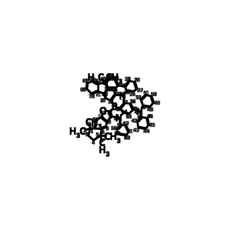 CC1(C)CCC(C)(C)c2cc3c4c(oc3cc21)B1c2cc3c(cc2N(c2ccccc2-c2ccccc2)c2cc(N(c5ccccc5)c5ccccc5)cc(c21)N4c1ccccc1)C(C)(C)c1ccccc1-3